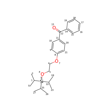 CC(C)[Si](OCCOc1ccc(C(=O)c2ccccc2)cc1)(C(C)C)C(C)C